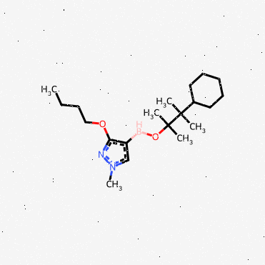 CCCCOc1nn(C)cc1BOC(C)(C)C(C)(C)C1CCCCC1